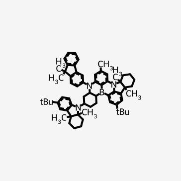 Cc1cc2c3c(c1)N1c4c(cc(C(C)(C)C)cc4C4(C)CCCCC14C)B3C1CCC(N3c4ccc(C(C)(C)C)cc4C4(C)CCCCC34C)CC1N2c1ccc2c(c1)-c1ccccc1C2(C)C